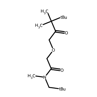 CN(CC(C)(C)C)C(=O)COCC(=O)C(C)(C)C(C)(C)C